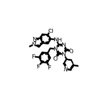 CC1=CN=CC(n2c(=O)nc(Nc3cc4cn(C)nc4cc3Cl)n(Cc3cc(F)c(F)c(F)c3)c2=O)C1